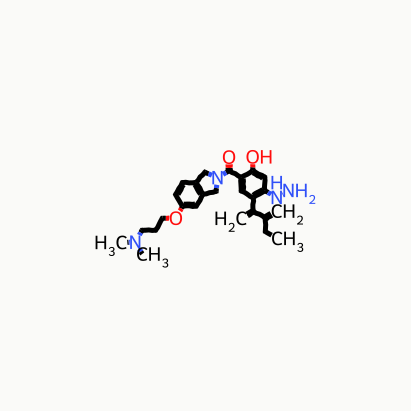 C=C(CC)C(=C)c1cc(C(=O)N2Cc3ccc(OCCCN(C)C)cc3C2)c(O)cc1NN